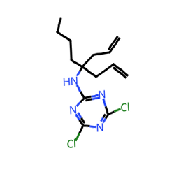 C=CCC(CC=C)(CCCC)Nc1nc(Cl)nc(Cl)n1